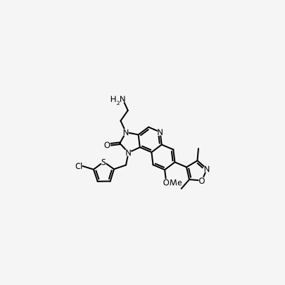 COc1cc2c(cc1-c1c(C)noc1C)ncc1c2n(Cc2ccc(Cl)s2)c(=O)n1CCN